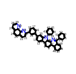 c1ccc(-c2nc3c(ccc4c5ccc(-c6cccc(-c7ccc8ccc9cccnc9c8n7)c6)cc5n(-c5ccccc5)c43)c3ccccc23)cc1